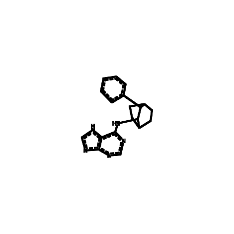 c1ccc(C2C3CCC(CC3)C2Nc2ncnc3nc[nH]c23)cc1